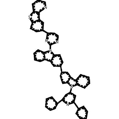 c1ccc(-c2cc(-n3c4ccccc4c4cc(-c5ccc6c(c5)c5ccccc5n6-c5nccc(-c6ccc7sc8cccnc8c7c6)n5)ccc43)cc(-c3ccccc3)n2)cc1